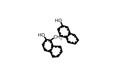 Cc1c(O)ccc2ccccc12.Oc1ccc2ccccc2c1